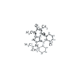 CC(C)N(c1nc2c(c(=O)n(C)c(=O)n2C)n1Cc1c(F)cccc1Cl)C1CCCCC1